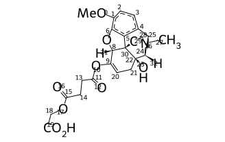 COc1ccc2c3c1O[C@H]1C(OC(=O)CCC(=O)OCC(=O)O)=CC[C@@]4(O)[C@@H](C2)N(C)CC[C@]314